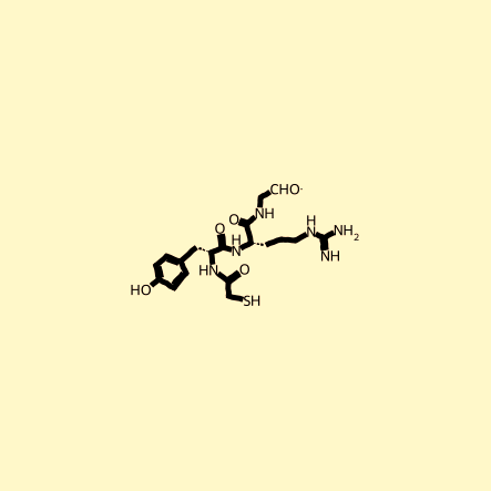 N=C(N)NCCC[C@H](NC(=O)[C@@H](Cc1ccc(O)cc1)NC(=O)CS)C(=O)NC[C]=O